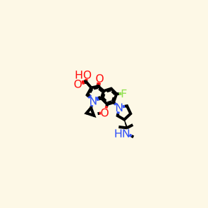 CNC(C)(C)[C@@H]1CCN(c2c(F)cc3c(=O)c(C(=O)O)cn(C4CC4)c3c2OC)C1